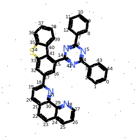 c1ccc(-c2nc(-c3ccccc3)nc(-c3cc(-c4ccc5ccc6cccnc6c5n4)cc4sc5ccccc5c34)n2)cc1